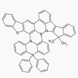 CC1(C)c2ccccc2-c2c1n1c3c(cccc23)-c2cc3c(oc4ccccc43)c3c2B1c1cccc2c1N3c1ccccc1[Si]2(c1ccccc1)c1ccccc1